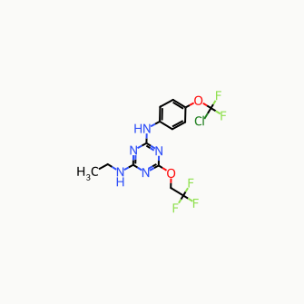 CCNc1nc(Nc2ccc(OC(F)(F)Cl)cc2)nc(OCC(F)(F)F)n1